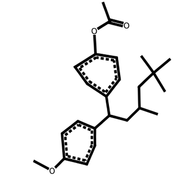 COc1ccc(C(CC(C)CC(C)(C)C)c2ccc(OC(C)=O)cc2)cc1